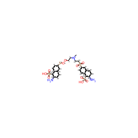 CN(CCOOSc1ccc2c(S(=O)(=O)O)c(N)ccc2c1)CCS(=O)(=O)c1ccc2c(S(=O)(=O)O)c(N)ccc2c1